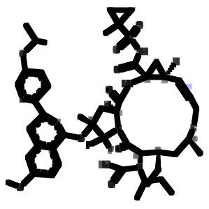 CCC(C)N(C(=O)O)[C@@H]1C(=O)N2[C@@H](C[C@@](C)(Oc3nc(-c4ccc(OC(C)C)cn4)cc4cc(OC)ccc34)C2(F)F)C(=O)N[C@]2(C(=O)NS(=O)(=O)C3(C)CC3)C[C@H]2/C=C\CC[C@@H](C)C[C@H]1CC